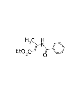 CCOC(=O)C=C(C)NC(=O)c1ccccc1